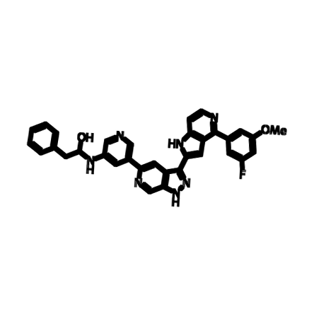 COc1cc(F)cc(-c2nccc3[nH]c(-c4n[nH]c5cnc(-c6cncc(NC(O)Cc7ccccc7)c6)cc45)cc23)c1